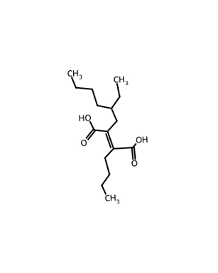 CCCCC(C(=O)O)=C(CC(CC)CCCC)C(=O)O